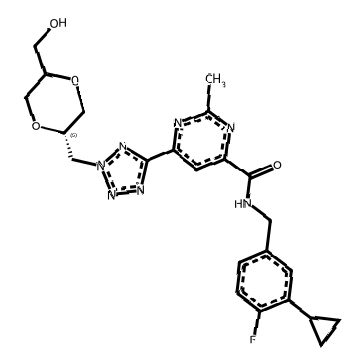 Cc1nc(C(=O)NCc2ccc(F)c(C3CC3)c2)cc(-c2nnn(C[C@H]3COC(CO)CO3)n2)n1